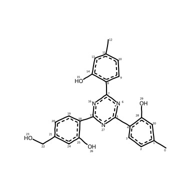 Cc1ccc(-c2nc(-c3ccc(C)cc3O)nc(-c3ccc(CO)cc3O)n2)c(O)c1